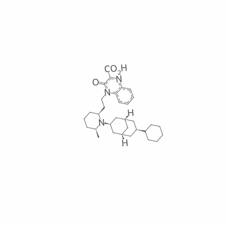 C[C@H]1CCC[C@@H](CCn2c(=O)c(C(=O)O)nc3ccccc32)N1[C@@H]1C[C@@H]2C[C@@H](C[C@@H](C3CCCCC3)C2)C1